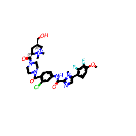 COc1ccc(-c2cnc(C(=O)Nc3ccc(C(=O)N4CCN(C(=O)[C@@H]5C[C@@H](CO)C[N+]5(C)C)CC4)c(Cl)c3)n2C)c(F)c1F